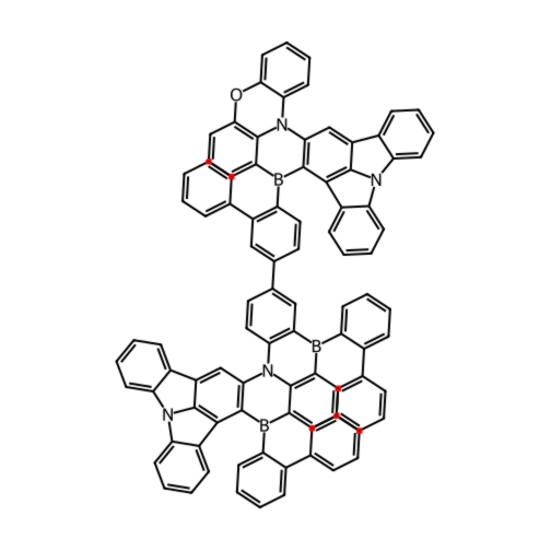 c1ccc(-c2ccccc2B2c3cc(-c4ccc(B5c6cccc7c6N(c6ccccc6O7)c6cc7c8ccccc8n8c9ccccc9c(c65)c78)c(-c5ccccc5)c4)ccc3N3c4cc5c6ccccc6n6c7ccccc7c(c4B(c4ccccc4-c4ccccc4)c4cccc2c43)c56)cc1